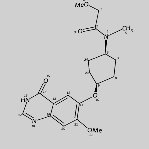 COCC(=O)N(C)[C@H]1CC[C@@H](Oc2cc3c(=O)[nH]cnc3cc2OC)CC1